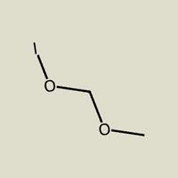 COCOI